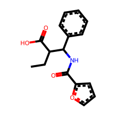 CCC(C(=O)O)C(NC(=O)c1ccco1)c1ccccc1